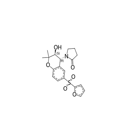 CC1(C)Oc2ccc(S(=O)(=O)c3ccco3)cc2[C@@H](N2CCCC2=O)[C@@H]1O